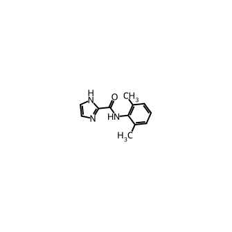 Cc1cccc(C)c1NC(=O)c1ncc[nH]1